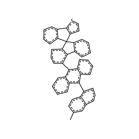 Cc1ccc2c(-c3c4ccccc4c(-c4cccc5c4-c4ccccc4C54c5ccccc5-c5sccc54)c4ccccc34)cccc2c1